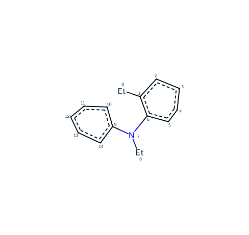 CCc1ccccc1N(CC)c1ccccc1